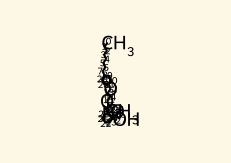 CCCCCCCCc1ccc(OCCOCC[N+]2(C)CCCCC2C(=O)O)cc1